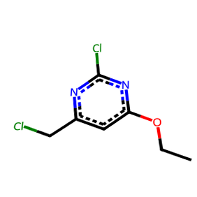 CCOc1cc(CCl)nc(Cl)n1